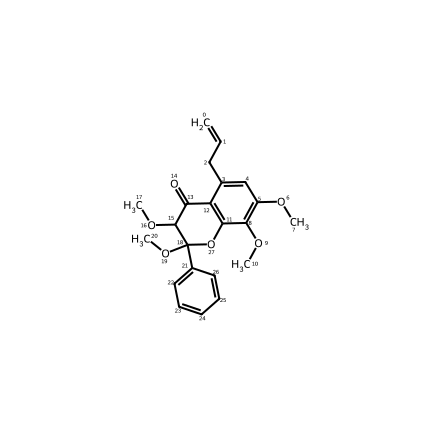 C=CCc1cc(OC)c(OC)c2c1C(=O)C(OC)C(OC)(c1ccccc1)O2